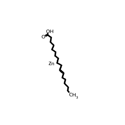 CCCCCCC=CCCCCCCCCCC(=O)O.[Zn]